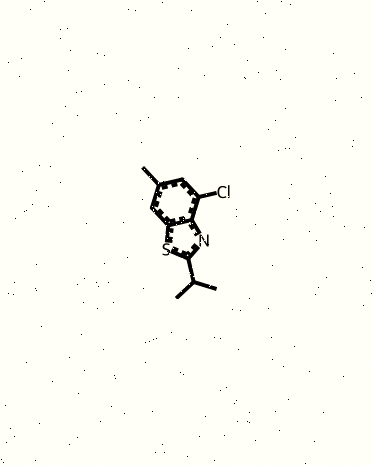 Cc1cc(Cl)c2nc(C(C)C)sc2c1